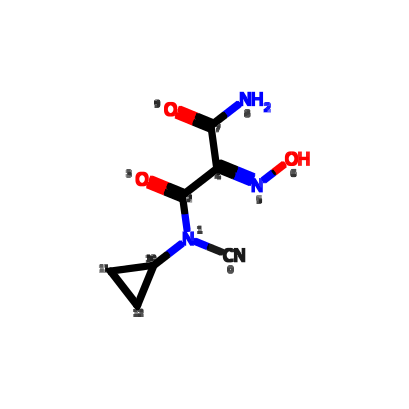 N#CN(C(=O)C(=NO)C(N)=O)C1CC1